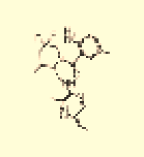 C\C=C(Cl)/C=N\C(NC[C@@H]1C(C)CC(F)(F)CN1C(=O)c1cc(C)ccc1N)=C(\C)CC